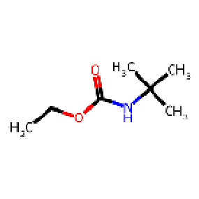 [CH2]COC(=O)NC(C)(C)C